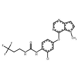 Cn1ccc2ncnc(Oc3ccc(NC(=O)NCCC(F)(F)F)c(Cl)c3)c21